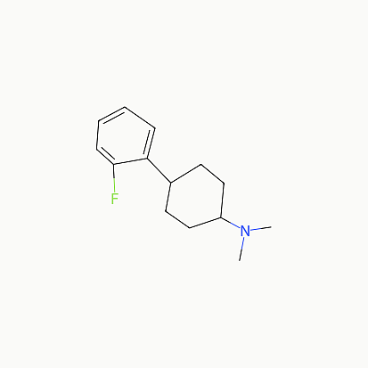 CN(C)C1CCC(c2ccccc2F)CC1